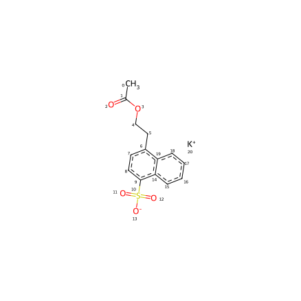 CC(=O)OCCc1ccc(S(=O)(=O)[O-])c2ccccc12.[K+]